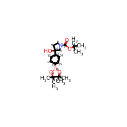 CC(C)(C)OC(=O)N1CCC(O)(c2ccc(B3OC(C)(C)C(C)(C)O3)cc2)C1